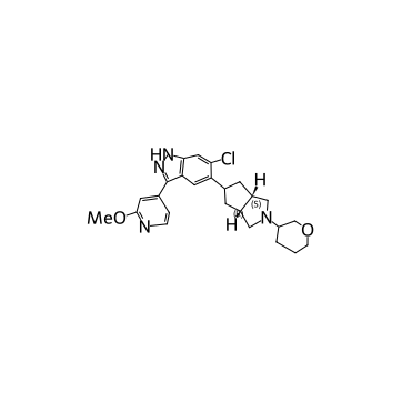 COc1cc(-c2n[nH]c3cc(Cl)c(C4C[C@@H]5CN(C6CCCOC6)C[C@@H]5C4)cc23)ccn1